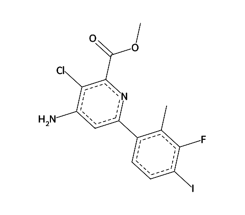 COC(=O)c1nc(-c2ccc(I)c(F)c2C)cc(N)c1Cl